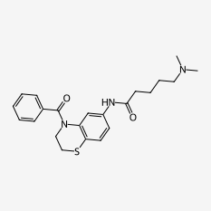 CN(C)CCCCC(=O)Nc1ccc2c(c1)N(C(=O)c1ccccc1)CCS2